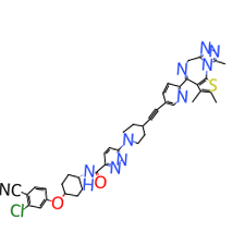 Cc1sc2c(c1C)C(c1ccc(C#CC3CCN(c4ccc(C(=O)N[C@H]5CC[C@H](Oc6ccc(C#N)c(Cl)c6)CC5)nn4)CC3)cn1)=NCc1nnc(C)n1-2